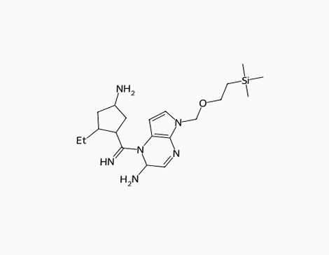 CCC1CC(N)CC1C(=N)N1c2ccn(COCC[Si](C)(C)C)c2N=CC1N